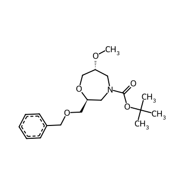 CO[C@H]1CO[C@H](COCc2ccccc2)CN(C(=O)OC(C)(C)C)C1